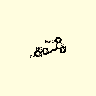 COc1cccc2c1CC(=CCCN1CCC(O)(c3ccc(Cl)cn3)CC1)c1cccnc1O2